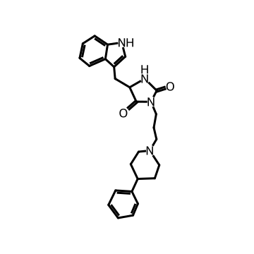 O=C1NC(Cc2c[nH]c3ccccc23)C(=O)N1CCCN1CCC(c2ccccc2)CC1